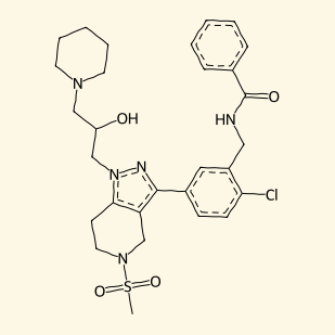 CS(=O)(=O)N1CCc2c(c(-c3ccc(Cl)c(CNC(=O)c4ccccc4)c3)nn2CC(O)CN2CCCCC2)C1